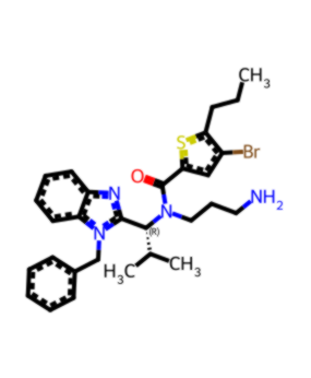 CCCc1sc(C(=O)N(CCCN)[C@@H](c2nc3ccccc3n2Cc2ccccc2)C(C)C)cc1Br